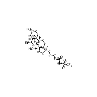 CC[C@H]1[C@@H](O)[C@@H]2[C@H](CC[C@]3(C)[C@@H](CCCOC(=O)NS(=O)(=O)C(F)(F)F)CC[C@@H]23)[C@@]2(C)CC[C@@H](O)C[C@@H]12